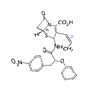 C/C=C\C1=C(C(=O)O)N2C(=O)C[C@H]2SC1NC(=O)C(Cc1ccc([N+](=O)[O-])cc1)Oc1ccccc1